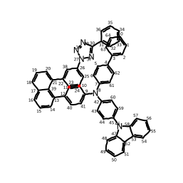 c1ccc(-c2ccc(N(c3ccc(-c4cccc5cccc(-c6cccc(-n7nnc(-c8ccccc8)n7)c6)c45)cc3)c3ccc(-n4c5ccccc5c5ccccc54)cc3)cc2)cc1